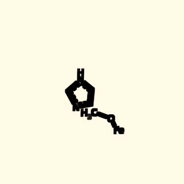 C[O][Fe].c1c[nH]cn1